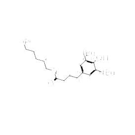 CC(C)CCCCCOC(=O)CCCc1cc(C(C)(C)C)c(O)c(C(C)(C)C)c1